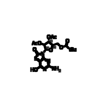 CC(=O)OC1[C@H](n2c(=O)sc3c(O)nc(N)nc32)O[C@H](COC(=O)C(C)(C)C)[C@H]1OC(C)=O